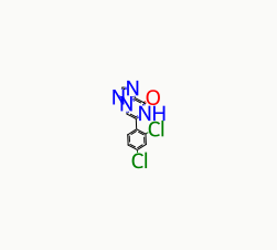 O=c1[nH]c(-c2ccc(Cl)cc2Cl)cn2ncnc12